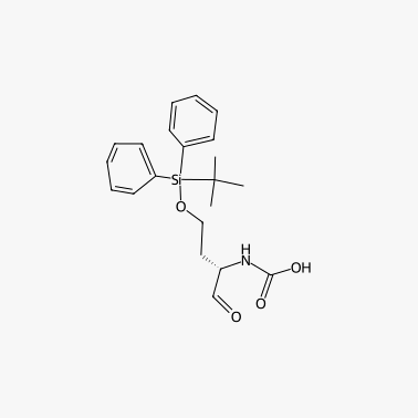 CC(C)(C)[Si](OCC[C@@H](C=O)NC(=O)O)(c1ccccc1)c1ccccc1